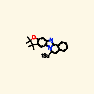 CC(C)(C)c1cc2ccccc2c2nc3cc4c(cc3n12)C(C)(C)C(C)(C)O4